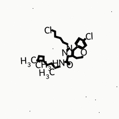 CC(CCC1CCC1(C)C)CNC(=O)c1nn(CCCCCCl)c2c1CCOc1cc(Cl)ccc1-2